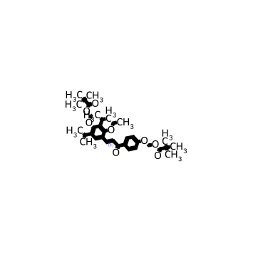 CCOc1c(/C=C/C(=O)c2ccc(OCOC(=O)C(C)(C)C)cc2)cc(C(C)C)c(OCOC(=O)C(C)(C)C)c1C(C)C